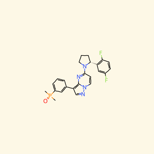 CP(C)(=O)c1cccc(-c2cnn3ccc(N4CCC[C@@H]4c4cc(F)ccc4F)nc23)c1